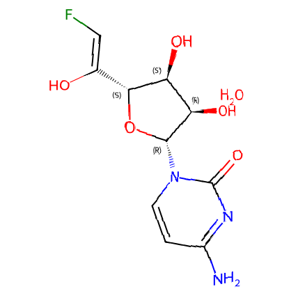 Nc1ccn([C@@H]2O[C@H](C(O)=CF)[C@@H](O)[C@H]2O)c(=O)n1.O